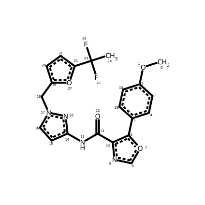 COc1ccc(-c2ocnc2C(=O)Nc2ccn(Cc3ccc(C(C)(F)F)o3)n2)cc1